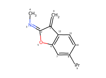 C=C1/C(=N\C)Oc2cc(C(C)C)ccc21